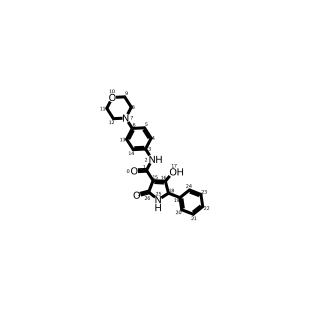 O=C(Nc1ccc(N2CCOCC2)cc1)C1=C(O)C(c2ccccc2)NC1=O